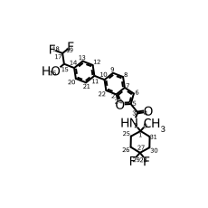 CC1(NC(=O)c2cc3ccc(-c4ccc(C(O)C(F)F)cc4)cc3o2)CCC(F)(F)CC1